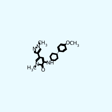 COc1ccc([C@H]2CC[C@H](Nc3cc(-c4cnn(C)c4)cn(C)c3=O)CC2)cc1